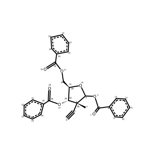 C#C[C@@]1(C)C(OC(=O)c2ccccc2)O[C@H](COC(=O)c2ccccc2)[C@H]1OC(=O)c1ccccc1